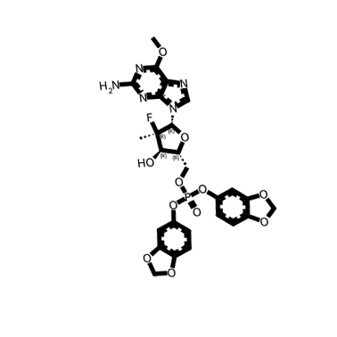 COc1nc(N)nc2c1ncn2[C@@H]1O[C@H](COP(=O)(Oc2ccc3c(c2)OCO3)Oc2ccc3c(c2)OCO3)[C@@H](O)[C@@]1(C)F